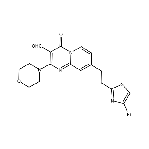 CCc1csc(CCc2ccn3c(=O)c(C=O)c(N4CCOCC4)nc3c2)n1